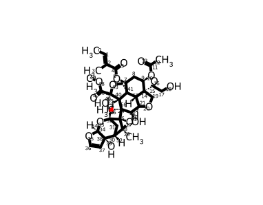 C/C=C(\C)C(=O)O[C@H]1C[C@@H](OC(C)=O)[C@@]2(C(=O)CO)CO[C@H]3[C@@H](O)[C@@](C)([C@]45O[C@@]4(C)[C@H]4C[C@@H]5O[C@@H]5OC=C[C@@]54O)[C@H]4[C@]1(CO[C@]4(O)C(=O)OC)[C@@H]32